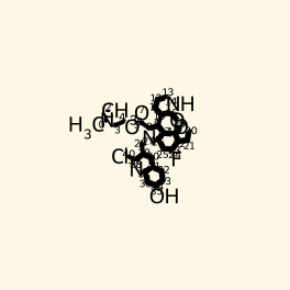 CN(C)CCOC(=O)c1c(-c2ccc[nH]c2=O)c2c3occc3c(F)cc2n1Cc1cc2ccc(O)cc2nc1Cl